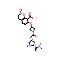 C=C([C@@H]1C[C@H](CC(=O)N2CC(Oc3ccc4c(c3C(=O)O)OB(O)CC4)C2)CN1)N(C)C